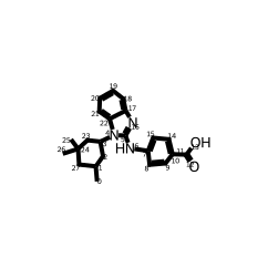 CC1CC(n2c(Nc3ccc(C(=O)O)cc3)nc3ccccc32)CC(C)(C)C1